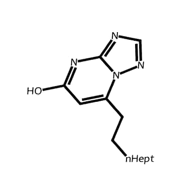 CCCCCCCCCc1cc(O)nc2ncnn12